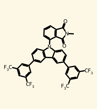 CN1C(=O)c2cccc(-n3c4ccc(-c5cc(C(F)(F)F)cc(C(F)(F)F)c5)cc4c4cc(-c5cc(C(F)(F)F)cc(C(F)(F)F)c5)ccc43)c2C1=O